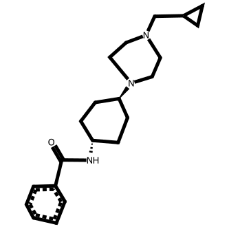 O=C(N[C@H]1CC[C@H](N2CCN(CC3CC3)CC2)CC1)c1ccccc1